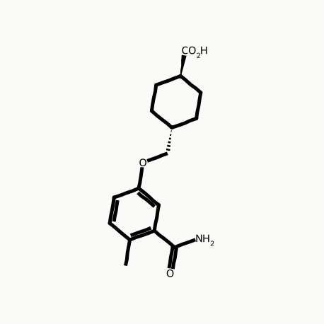 Cc1ccc(OC[C@H]2CC[C@H](C(=O)O)CC2)cc1C(N)=O